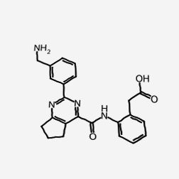 NCc1cccc(-c2nc3c(c(C(=O)Nc4ccccc4CC(=O)O)n2)CCC3)c1